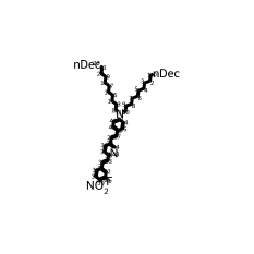 CCCCCCCCCCCCCCCCCCCCN(CCCCCCCCCCCCCCCCCCCC)c1ccc(C=Cc2ccc(C=Cc3ccc([N+](=O)[O-])c(F)c3)nc2)cc1